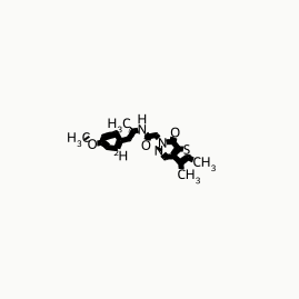 [2H]c1cc(OC)ccc1C[C@H](C)NC(=O)Cn1ncc2c(C)c(C)sc2c1=O